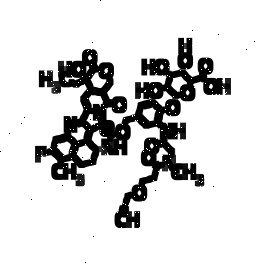 C#CCOCCC(=O)N(C)CC(=O)Nc1cc(COC(=O)N[C@@H]2CCc3c(C)c(F)cc4nc5c(c2c34)Cn2c-5cc3c(c2=O)COC(=O)[C@@]3(O)CC)ccc1O[C@H]1OC(C(=O)O)[C@@H](O)C(O)C1O